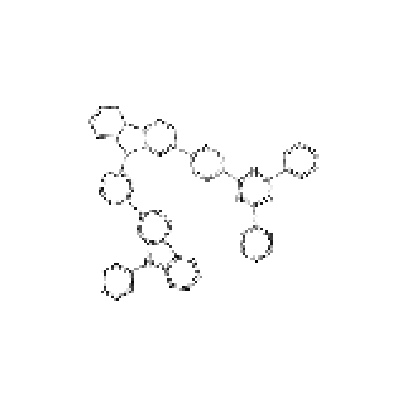 C1=CCC2C(=C1)N(c1cccc(-c3ccc4c5ccccc5n(-c5ccccc5)c4c3)c1)c1cc(-c3ccc(-c4nc(-c5ccccc5)nc(-c5ccccc5)n4)cc3)ccc12